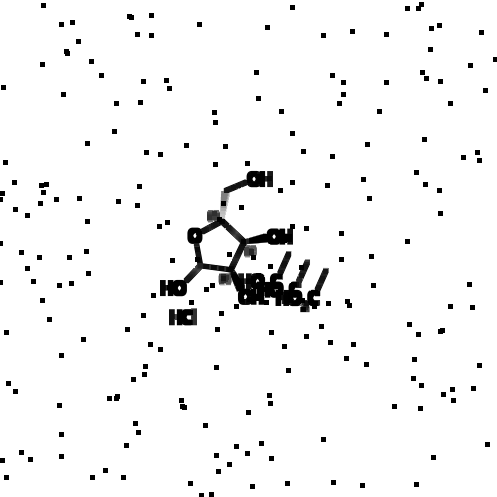 CC(=O)O.CC(=O)O.CC(=O)O.Cl.OC[C@H]1OC(O)[C@H](O)[C@@H]1O